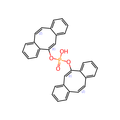 O=P(O)(O/C1=C/c2ccccc2/C=C\c2ccccc21)O/C1=C/c2ccccc2/C=C\c2ccccc21